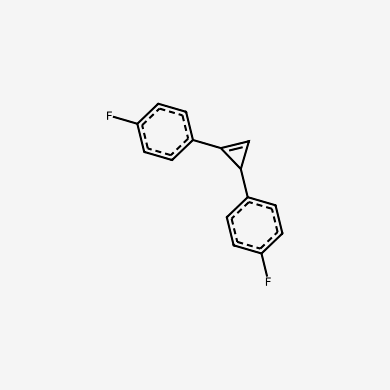 Fc1ccc(C2=CC2c2ccc(F)cc2)cc1